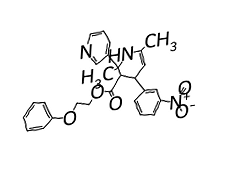 CC1=CC(c2cccc([N+](=O)[O-])c2)C(C(=O)OCCOc2ccccc2)C(C)(c2cccnc2)N1